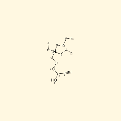 C#CC(O)OCC[N+](CC)(CCC)CCCC